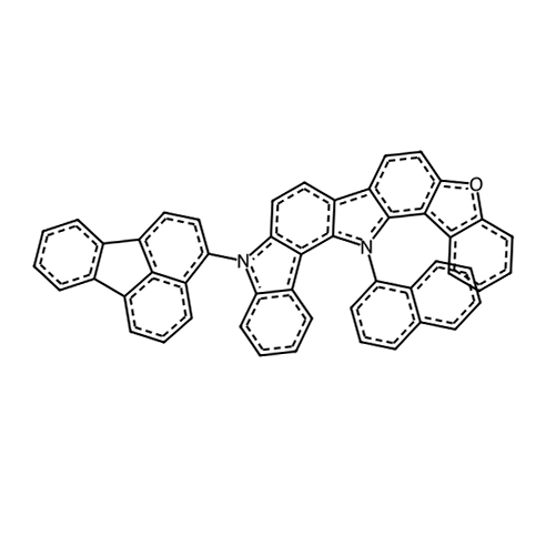 c1ccc2c(c1)-c1cccc3c(-n4c5ccccc5c5c4ccc4c6ccc7oc8ccccc8c7c6n(-c6cccc7ccccc67)c45)ccc-2c13